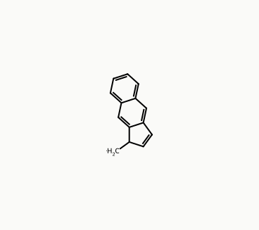 [CH2]C1C=Cc2cc3ccccc3cc21